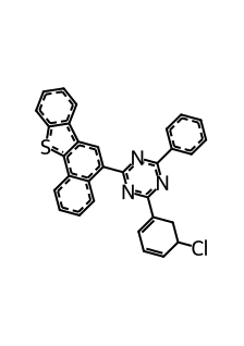 ClC1C=CC=C(c2nc(-c3ccccc3)nc(-c3cc4c5ccccc5sc4c4ccccc34)n2)C1